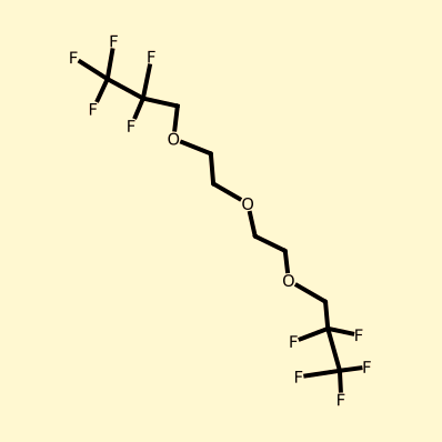 FC(F)(F)C(F)(F)COCCOCCOCC(F)(F)C(F)(F)F